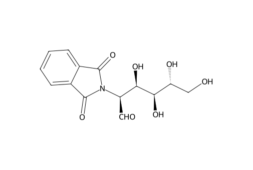 O=C[C@H]([C@@H](O)[C@H](O)[C@H](O)CO)N1C(=O)c2ccccc2C1=O